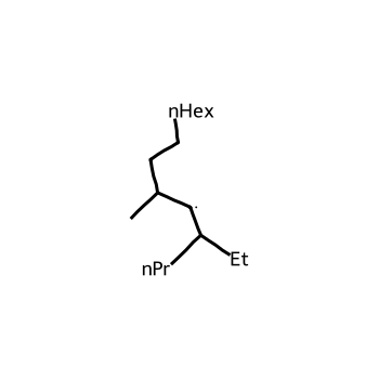 CCCCCCCCC(C)[CH]C(CC)CCC